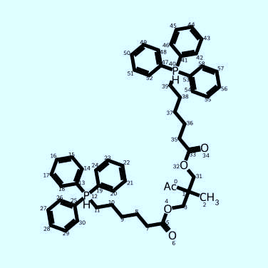 CC(=O)C(C)(COC(=O)CCCCC[PH](c1ccccc1)(c1ccccc1)c1ccccc1)COC(=O)CCCCC[PH](c1ccccc1)(c1ccccc1)c1ccccc1